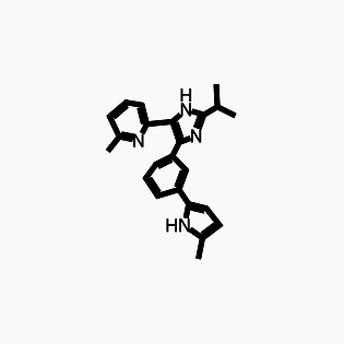 Cc1cccc(-c2[nH]c(C(C)C)nc2-c2cccc(-c3ccc(C)[nH]3)c2)n1